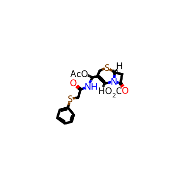 CC(=O)OC(NC(=O)CSc1ccccc1)C1=C(C(=O)O)N2C(=O)C[C@H]2SC1